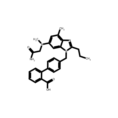 CCCc1nc2c(C)cc(N(C)CC(N)=O)cc2n1Cc1ccc(-c2ccccc2C(=O)O)cc1